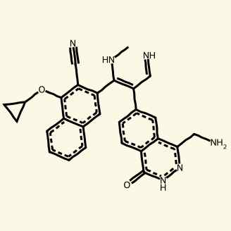 CN/C(=C(\C=N)c1ccc2c(=O)[nH]nc(CN)c2c1)c1cc2ccccc2c(OC2CC2)c1C#N